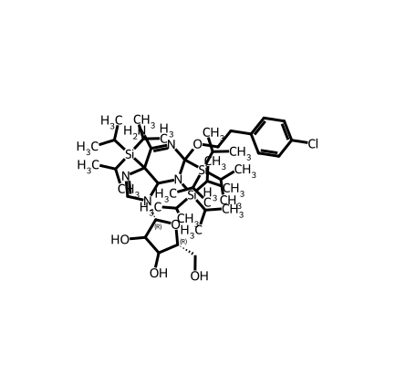 CC(C)[Si](C(C)C)(C(C)C)N1C2N([C@@H]3O[C@H](CO)C(O)C3O)C=NC2([Si](C(C)C)(C(C)C)C(C)C)C(N)=NC1(OCCc1ccc(Cl)cc1)[Si](C(C)C)(C(C)C)C(C)C